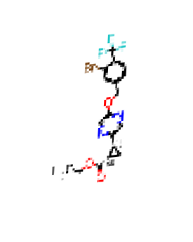 CCOC(=O)[C@H]1C[C@@H]1c1cnc(OCc2ccc(C(F)(F)F)c(Br)c2)cn1